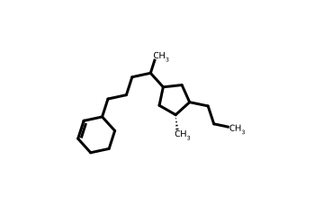 CCCC1CC(C(C)CCCC2C=CCCC2)C[C@H]1C